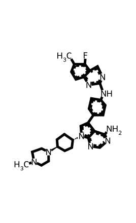 Cc1ccc2nc(Nc3ccc(-c4cn([C@H]5CC[C@H](N6CCN(C)CC6)CC5)c5ncnc(N)c45)cc3)ncc2c1F